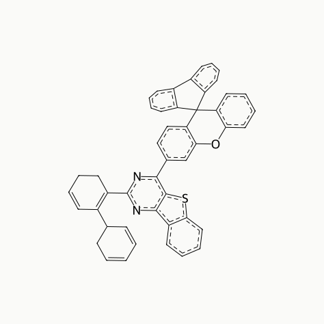 C1=CCC(C2=C(c3nc(-c4ccc5c(c4)Oc4ccccc4C54c5ccccc5-c5ccccc54)c4sc5ccccc5c4n3)CCC=C2)C=C1